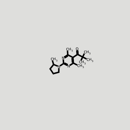 Cc1nc(N2CCCC2C)nc(C)c1C(=O)C(C)(C)C